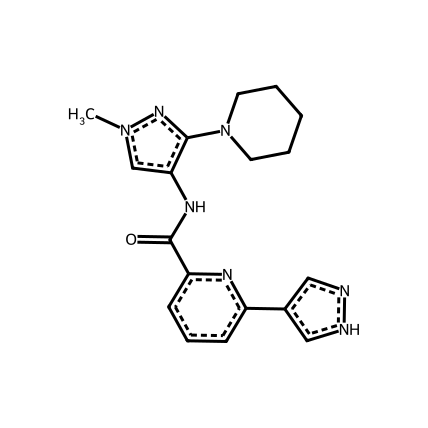 Cn1cc(NC(=O)c2cccc(-c3cn[nH]c3)n2)c(N2CCCCC2)n1